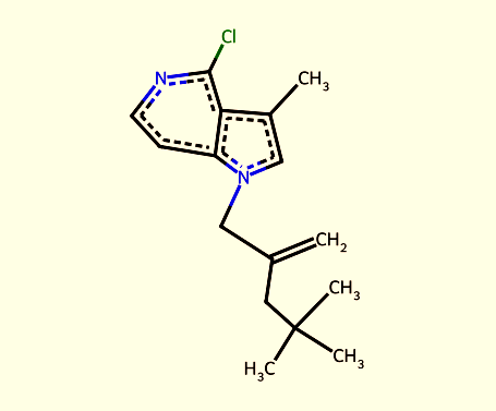 C=C(Cn1cc(C)c2c(Cl)nccc21)CC(C)(C)C